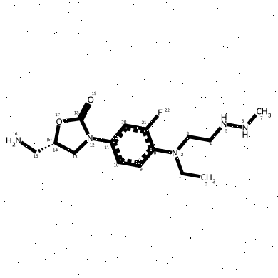 CCN(CCNNC)c1ccc(N2C[C@H](CN)OC2=O)cc1F